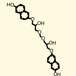 Oc1ccc2cc(OCC(O)COCOCC(O)COc3ccc4cc(O)ccc4c3)ccc2c1